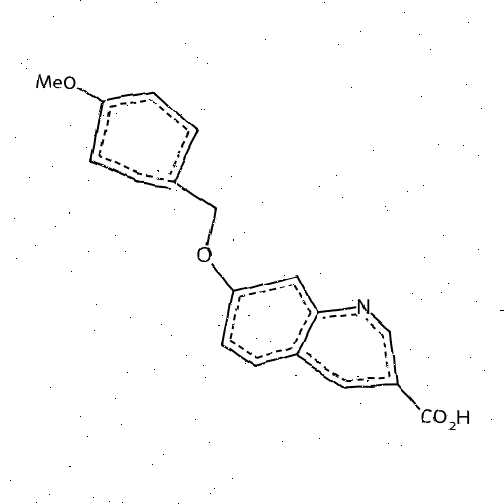 COc1ccc(COc2ccc3cc(C(=O)O)cnc3c2)cc1